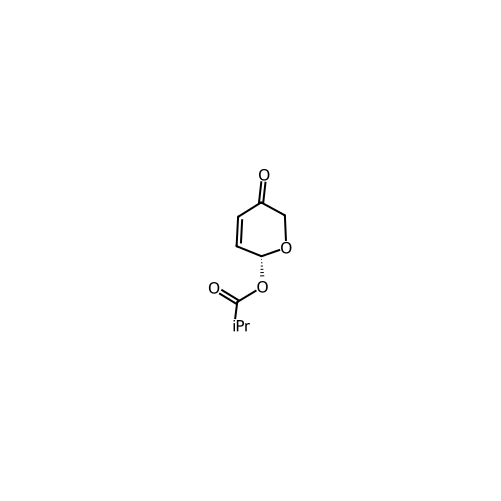 CC(C)C(=O)O[C@@H]1C=CC(=O)CO1